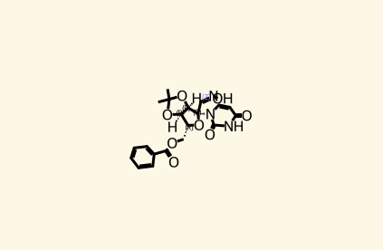 CC1(C)O[C@H]2[C@@H](O1)[C@](/C=N\O)(n1ccc(=O)[nH]c1=O)O[C@@H]2COC(=O)c1ccccc1